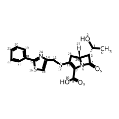 CC(O)[C@@H]1C(=O)N2C(C(=O)O)=C(SCc3csc(-c4ccccc4)n3)C[C@H]12